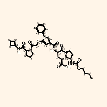 CCCCOC(=O)NC1CCN(C(=O)C(CCC(=O)O)NC(=O)c2cc(OCC(=O)N3CCCC3C(=O)NC3CCC3)n(-c3ccccc3)n2)C1